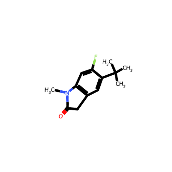 CN1C(=O)Cc2cc(C(C)(C)C)c(F)cc21